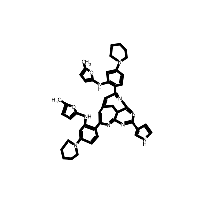 Cc1ccc(Nc2cc(N3CCCCC3)ccc2C2=CC3=CC(c4ccc(N5CCCCC5)cc4Nc4ccc(C)o4)=NC4=NC(c5cc[nH]c5)=NC(=N2)C4C3)o1